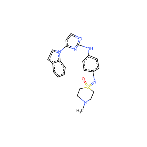 CN1CCS(=O)(=Nc2ccc(Nc3nccc(-n4ccc5ccccc54)n3)cc2)CC1